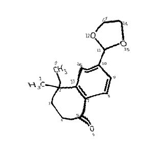 CC1(C)CCC(=O)c2ccc(C3OCCO3)cc21